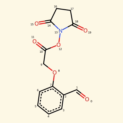 O=Cc1ccccc1OCC(=O)ON1C(=O)CCC1=O